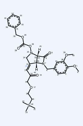 COc1ccc(CN2C(=O)[C@@H]3[C@H]2/C(=C\C(=O)COCC[Si](C)(C)C)CN3OC(=O)OCc2ccccc2)cc1OC